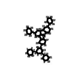 c1ccc(-c2cc(-c3ccccc3)cc(-c3ccc4c(c3)c3cc(-c5ccccc5)cc5c6cc(-c7ccccc7)ccc6n4c53)c2)cc1